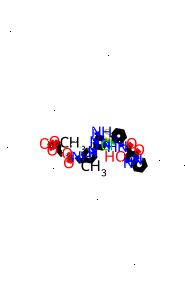 Cc1oc(=O)oc1COC(=O)NCC1(C)CCN(c2cnc(Sc3cccc(NC(=O)c4c(O)nc5n(c4=O)CCCC5)c3Cl)c(N)n2)CC1